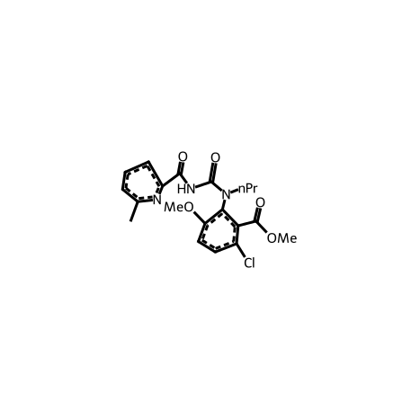 CCCN(C(=O)NC(=O)c1cccc(C)n1)c1c(OC)ccc(Cl)c1C(=O)OC